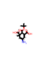 CC(C)(C)OC(=O)C1C(C(=O)O)=CC(N)=CC1(C)C(=O)O